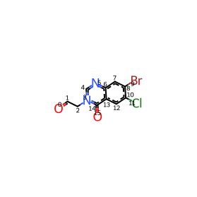 O=CCn1cnc2cc(Br)c(Cl)cc2c1=O